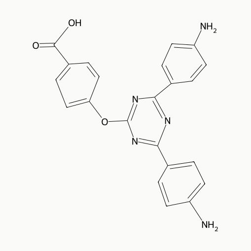 Nc1ccc(-c2nc(Oc3ccc(C(=O)O)cc3)nc(-c3ccc(N)cc3)n2)cc1